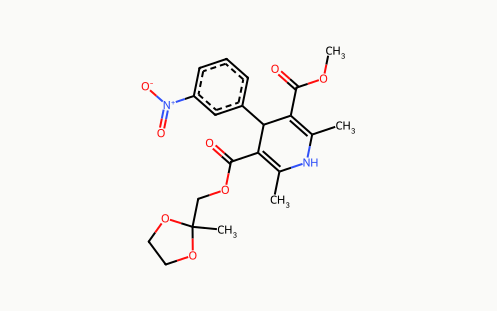 COC(=O)C1=C(C)NC(C)=C(C(=O)OCC2(C)OCCO2)C1c1cccc([N+](=O)[O-])c1